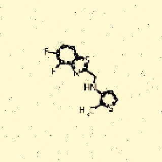 Cc1sccc1NCc1nc2c(F)c(F)ccc2s1